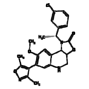 COc1cc2c(cc1-c1c(C)noc1C)NCC1OC(=O)N([C@H](C)c3cccc(Cl)c3)C21